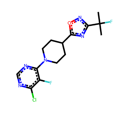 CC(C)(F)c1noc(C2CCN(c3ncnc(Cl)c3F)CC2)n1